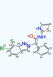 O=C(Nc1nccs1)C(c1ccccc1)n1cc2ccc(Br)c(F)c2n1